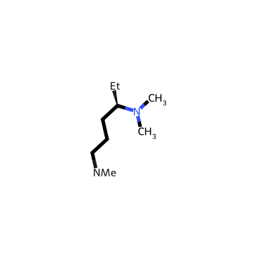 CC[C@H](CCCNC)N(C)C